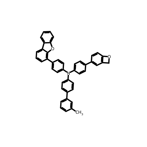 Cc1cccc(-c2ccc(N(c3ccc(-c4ccc5c(c4)CO5)cc3)c3ccc(-c4cccc5c4oc4ccccc45)cc3)cc2)c1